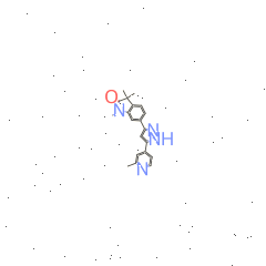 Cc1cc(-c2cc(-c3ccc4c(c3)N(C)C(=O)C4(C)C)n[nH]2)ccn1